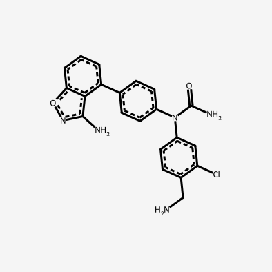 NCc1ccc(N(C(N)=O)c2ccc(-c3cccc4onc(N)c34)cc2)cc1Cl